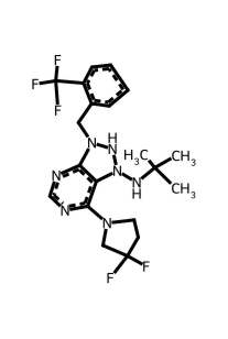 CC(C)(C)NN1NN(Cc2ccccc2C(F)(F)F)c2ncnc(N3CCC(F)(F)C3)c21